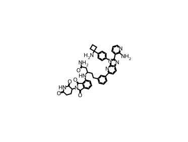 NC(=O)CC(CCc1cccc(-c2ccc3nc(-c4cccnc4N)n(-c4ccc(C5(N)CCC5)cc4)c3n2)c1)Nc1cccc2c1C(=O)N(C1CCC(=O)NC1=O)C2=O